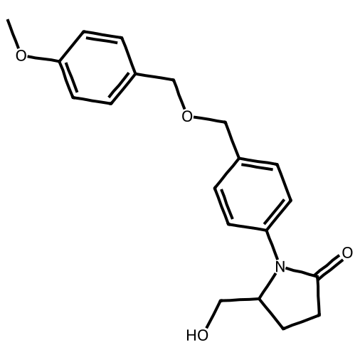 COc1ccc(COCc2ccc(N3C(=O)CCC3CO)cc2)cc1